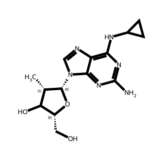 C[C@H]1C(O)[C@@H](CO)O[C@H]1n1cnc2c(NC3CC3)nc(N)nc21